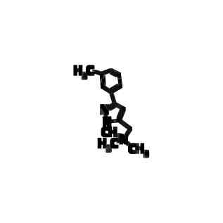 Cc1cccc(-c2cc(CN(C)C)n(C)n2)c1